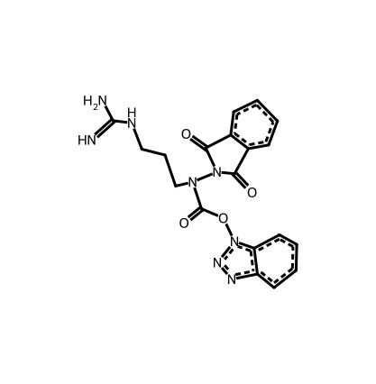 N=C(N)NCCCN(C(=O)On1nnc2ccccc21)N1C(=O)c2ccccc2C1=O